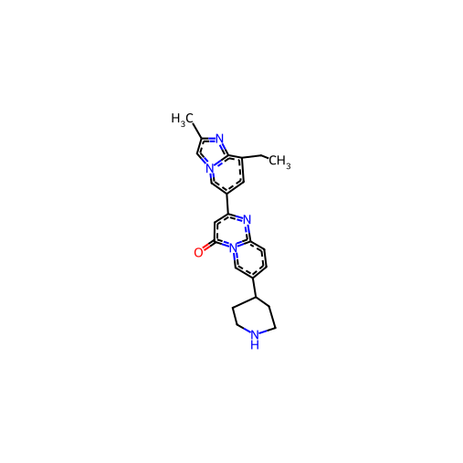 CCc1cc(-c2cc(=O)n3cc(C4CCNCC4)ccc3n2)cn2cc(C)nc12